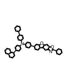 c1ccc(-c2ccc(N(c3ccc(-c4ccc5c(c4)oc4cc6oc(-c7ccccc7)nc6cc45)cc3)c3ccc(-c4cccc5ccccc45)cc3)cc2)cc1